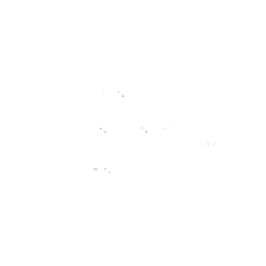 CC(c1ncc(F)cn1)N(C(=O)OC(C)(C)C)S(N)(=O)=O